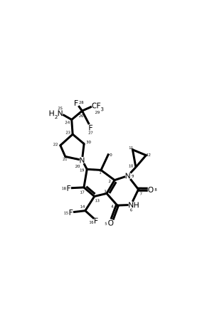 CC1c2c(c(=O)[nH]c(=O)n2C2CC2)C(C(F)F)=C(F)C1N1CCC(C(N)C(F)(F)C(F)(F)F)C1